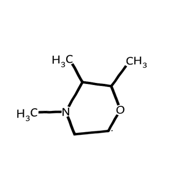 CC1O[CH]CN(C)C1C